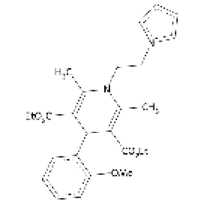 CCOC(=O)C1=C(C)N(CCn2cccc2)C(C)=C(C(=O)OCC)C1c1ccccc1OC